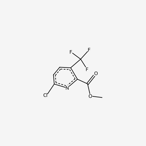 COC(=O)c1nc(Cl)ccc1C(F)(F)F